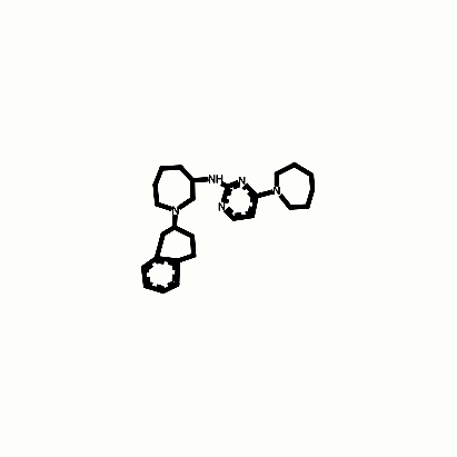 c1ccc2c(c1)CCC(N1CCCCC(Nc3nccc(N4CCCCCC4)n3)C1)C2